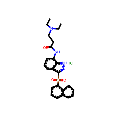 CCN(CC)CCC(=O)Nc1cccc2c(S(=O)(=O)c3cccc4ccccc34)n[nH]c12.Cl